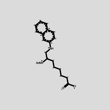 CCC(=O)CCCCCC(CNc1ccc2ccccc2c1)NC(C)=O